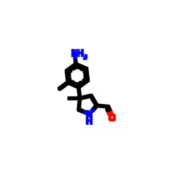 Cc1cc(N)ccc1C1(C)CNC(C=O)C1